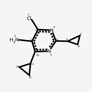 Nc1c(Cl)nc(C2CC2)nc1C1CC1